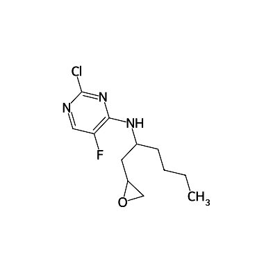 CCCCC(CC1CO1)Nc1nc(Cl)ncc1F